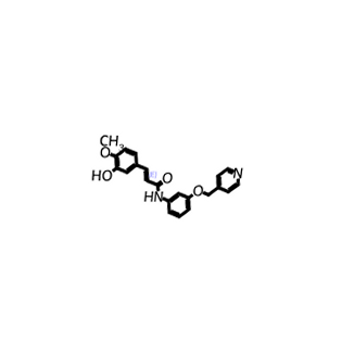 COc1ccc(/C=C/C(=O)Nc2cccc(OCc3ccncc3)c2)cc1O